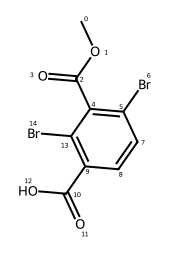 COC(=O)c1c(Br)ccc(C(=O)O)c1Br